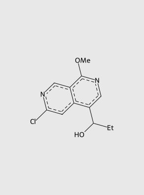 CCC(O)c1cnc(OC)c2cnc(Cl)cc12